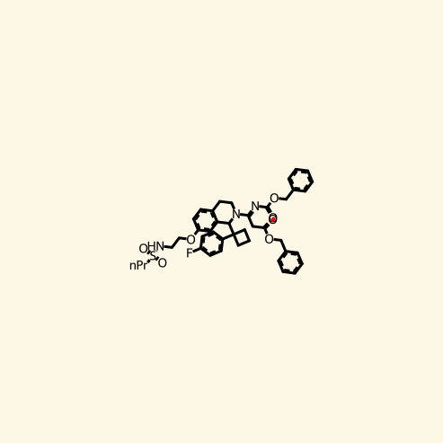 CCCS(=O)(=O)NCCOc1ccc2c(c1)C(C1(c3ccc(F)cc3)CCC1)N(/C(CC(=O)OCc1ccccc1)=N/C(=O)OCc1ccccc1)CC2